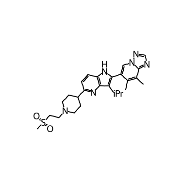 Cc1c(-c2[nH]c3ccc(C4CCN(CCS(C)(=O)=O)CC4)nc3c2C(C)C)cn2ncnc2c1C